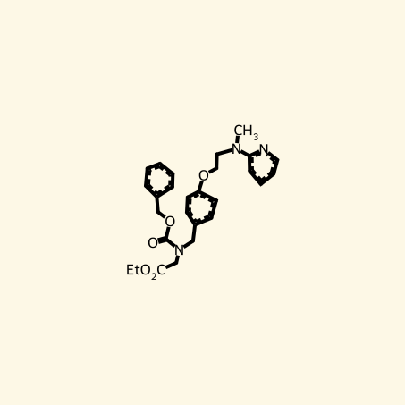 CCOC(=O)CN(Cc1ccc(OCCN(C)c2ccccn2)cc1)C(=O)OCc1ccccc1